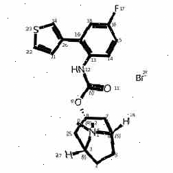 C[N+]1(C)[C@@H]2CC[C@H]1C[C@@H](OC(=O)Nc1ccc(F)cc1-c1ccsc1)C2.[Br-]